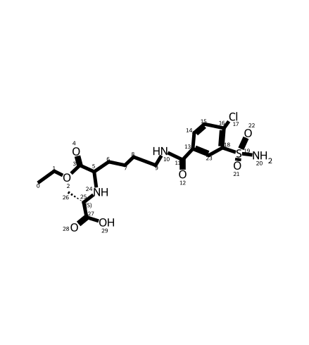 CCOC(=O)C(CCCCNC(=O)c1ccc(Cl)c(S(N)(=O)=O)c1)N[C@@H](C)C(=O)O